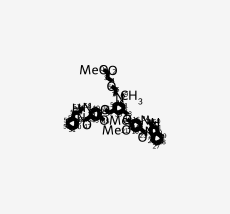 COC(=O)CCOCCN(C)c1cc(COc2cc3c(cc2OC)C(=O)N2c4ccccc4C[C@H]2C=N3)cc(COc2cc3c(cc2OC)C(=O)N2c4ccccc4C[C@H]2C=N3)c1